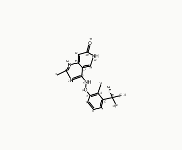 Cc1nc(NOc2cccc(C(F)(F)F)c2C)c2c[nH]c(=O)cc2n1